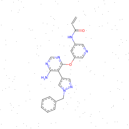 C=CC(=O)Nc1cncc(Oc2ncnc(N)c2-c2cnn(Cc3ccccc3)c2)c1